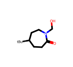 CC(C)(C)C1CCC(=O)N(CO)CC1